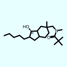 CCCCCC1CC2CCC(C)(CN(C)C(=O)C(C)(C)C)CC2[C@@H]1O